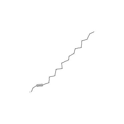 [CH2]CC#CCCCCCCCCCCCCCCC